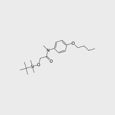 CCCCOc1ccc(N(C)C(=O)CO[Si](C)(C)C(C)(C)C)cc1